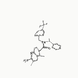 Cc1cc2c(C)c(C(=O)N(Cc3ccc(C(F)(F)F)cn3)C(C)c3ncccn3)ccc2nc1N